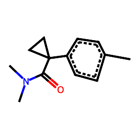 Cc1ccc(C2(C(=O)N(C)C)CC2)cc1